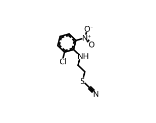 N#CSCCNc1c(Cl)cccc1[N+](=O)[O-]